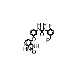 O=C(Nc1cccc(Oc2ccnc3[nH]c(=O)[nH]c23)c1)Nc1cc(CF)ccc1F